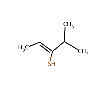 CC=C(S)C(C)C